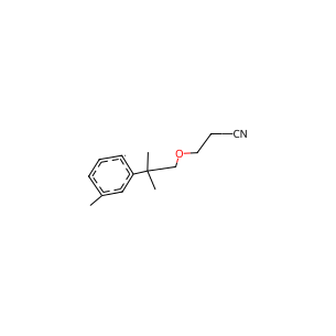 Cc1cc[c]c(C(C)(C)COCCC#N)c1